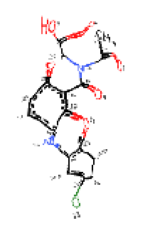 CC(=O)N(CC(=O)O)C(=O)c1c2oc3c(nc-2ccc1=O)C=C(Cl)CC3